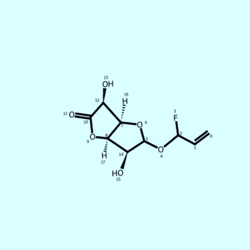 C=CC(F)OC1O[C@H]2[C@H](OC(=O)[C@H]2O)[C@@H]1O